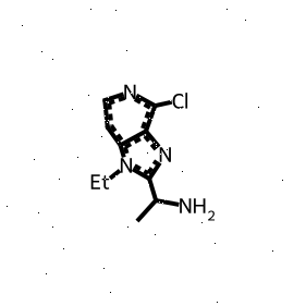 CCn1c(C(C)N)nc2c(Cl)nccc21